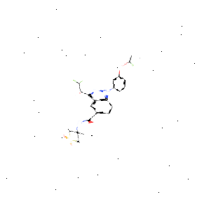 CC(F)Oc1cccc(-n2nc(C(O)C(F)F)c3cc(C(=O)NC4(C)CS(=O)(=O)C4)ccc32)c1